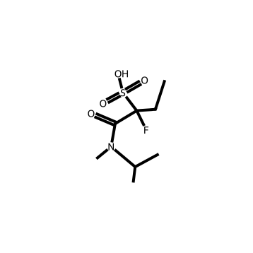 CCC(F)(C(=O)N(C)C(C)C)S(=O)(=O)O